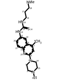 CCN1CCN(c2cc(C)c3cc(NC(=S)NCCCNC)ccc3n2)CC1